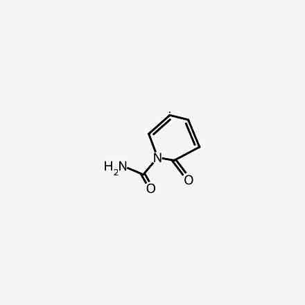 NC(=O)n1c[c]ccc1=O